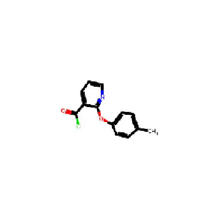 Cc1ccc(Oc2ncccc2C(=O)Cl)cc1